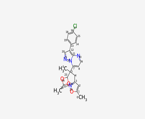 Cc1cc(CC(C)(c2ccnc3c(-c4ccc(Cl)cc4)cnn23)C2OC(C)O2)no1